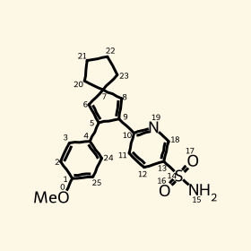 COc1ccc(C2=CC3(C=C2c2ccc(S(N)(=O)=O)cn2)CCCC3)cc1